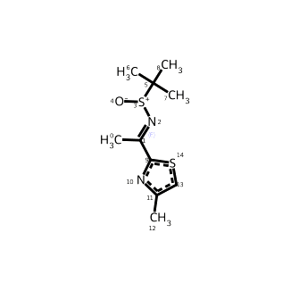 C/C(=N\[S+]([O-])C(C)(C)C)c1nc(C)cs1